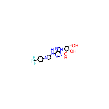 OC[C@H]1C[C@@H](n2cnc3c(N[C@H]4CCN(c5ccc(C(F)(F)F)cc5)C4)ncnc32)[C@H](O)[C@@H]1O